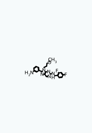 COCCCn1c(-c2cccc(N)c2)nc2cnc(NCc3ccc(F)cc3F)nc21